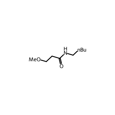 CCCCCNC(=O)CCOC